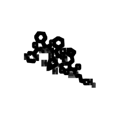 C=CCNC(=O)C(=O)C(CC1CCC1)NC(=O)[C@@H]1[C@H]2C[C@H]2CN1C(=O)[C@@H](NC(=O)[C@@H](NC(=O)c1cnccn1)C1CCCCC1)C1(C)CCCCC1